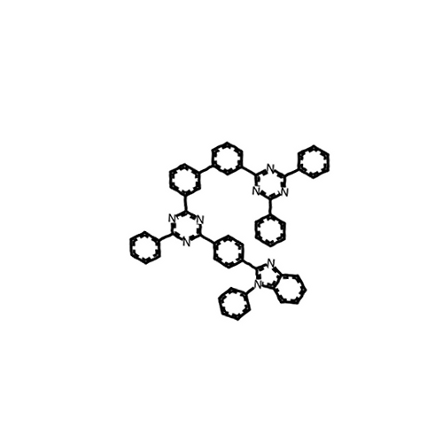 c1ccc(-c2nc(-c3ccccc3)nc(-c3cccc(-c4cccc(-c5nc(-c6ccccc6)nc(-c6ccc(-c7nc8ccccc8n7-c7ccccc7)cc6)n5)c4)c3)n2)cc1